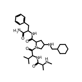 CNC(C)C(=O)NC(C(=O)N1CC(NCC2CCCCC2)CC1C(=O)NC(Cc1ccccc1)C(N)=O)C(C)C